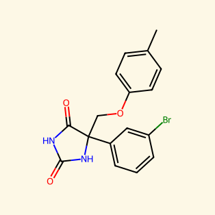 Cc1ccc(OCC2(c3cccc(Br)c3)NC(=O)NC2=O)cc1